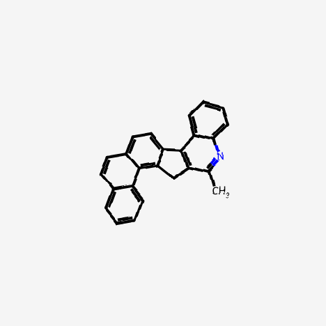 Cc1nc2ccccc2c2c1Cc1c-2ccc2ccc3ccccc3c12